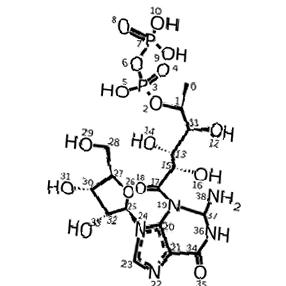 C[C@H](OP(=O)(O)OP(=O)(O)O)[C@@H](O)[C@@H](O)[C@H](O)C(=O)N1c2c(ncn2[C@@H]2O[C@H](CO)[C@@H](O)[C@H]2O)C(=O)NC1N